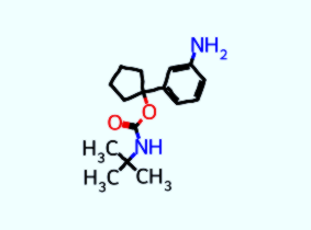 CC(C)(C)NC(=O)OC1(c2cccc(N)c2)CCCC1